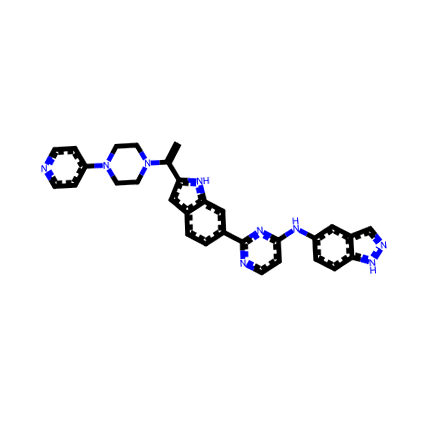 C=C(c1cc2ccc(-c3nccc(Nc4ccc5[nH]ncc5c4)n3)cc2[nH]1)N1CCN(c2ccncc2)CC1